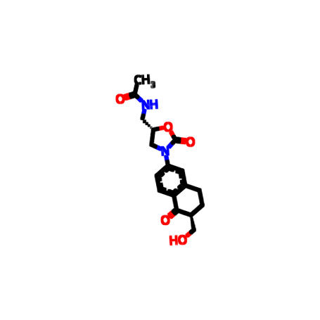 CC(=O)NC[C@H]1CN(c2ccc3c(c2)CC[C@@H](CO)C3=O)C(=O)O1